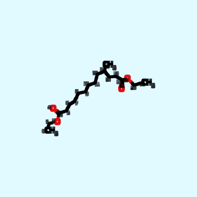 CCOC(=O)CCCCCCCCC(C)CCC(=O)OCC